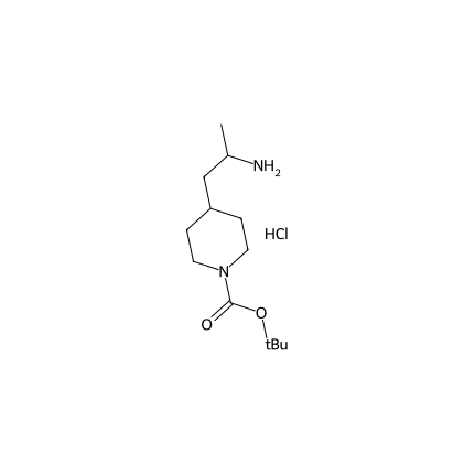 CC(N)CC1CCN(C(=O)OC(C)(C)C)CC1.Cl